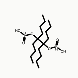 CCCCC(CCCC)(O[PH](=O)O)C(CCCC)(CCCC)O[PH](=O)O